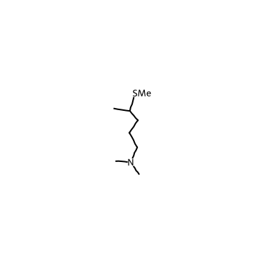 CSC(C)CCCN(C)C